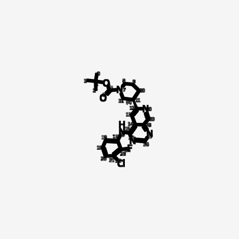 CC(C)(C)OC(=O)N1CCC[C@@H](c2cc3c(Nc4cccc(Cl)c4F)ncnc3cn2)C1